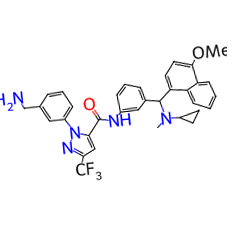 COc1ccc(C(c2cccc(NC(=O)c3cc(C(F)(F)F)nn3-c3cccc(CN)c3)c2)N(C)C2CC2)c2ccccc12